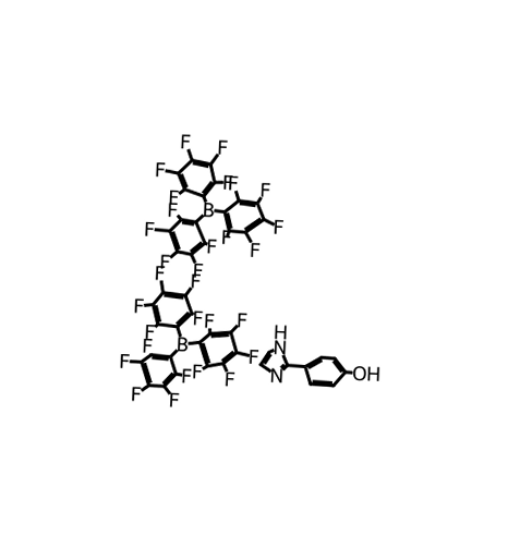 Fc1c(F)c(F)c(B(c2c(F)c(F)c(F)c(F)c2F)c2c(F)c(F)c(F)c(F)c2F)c(F)c1F.Fc1c(F)c(F)c(B(c2c(F)c(F)c(F)c(F)c2F)c2c(F)c(F)c(F)c(F)c2F)c(F)c1F.Oc1ccc(-c2ncc[nH]2)cc1